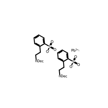 CCCCCCCCCCCCc1ccccc1S(=O)(=O)[O-].CCCCCCCCCCCCc1ccccc1S(=O)(=O)[O-].[Pb+2]